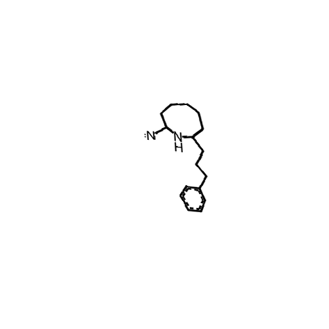 [N]C1CCCCCC(CCCc2ccccc2)N1